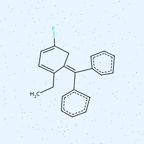 [CH2]CC1=CC=C(F)CC1=C(c1ccccc1)c1ccccc1